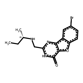 CC[C@H](C)NCc1nc2c(oc3ccc(Br)cc32)c(=O)[nH]1